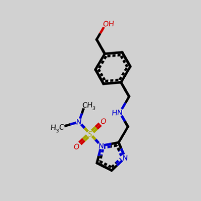 CN(C)S(=O)(=O)n1ccnc1CNCc1ccc(CO)cc1